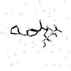 CCOP(=O)(C/C(=N\OC(C)=O)C(=O)c1ccc(Sc2ccccc2)cc1)OCC